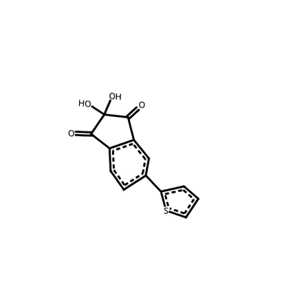 O=C1c2ccc(-c3cccs3)cc2C(=O)C1(O)O